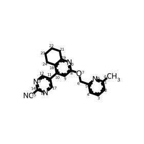 Cc1cccc(COc2cc(-c3cnc(C#N)nc3)c3c(n2)CCCC3)n1